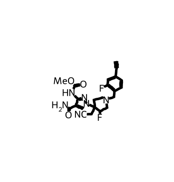 C#Cc1ccc(CN2CCC(CC#N)(n3cc(C(N)=O)c(NC(=O)OC)n3)C(F)C2)c(F)c1